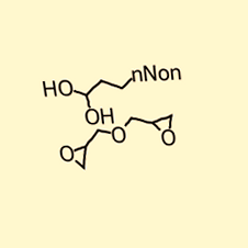 C(OCC1CO1)C1CO1.CCCCCCCCCCCC(O)O